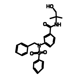 CC(C)(CO)NC(=O)c1cccc(N(Cc2ccccc2)S(=O)(=O)c2ccccc2)c1